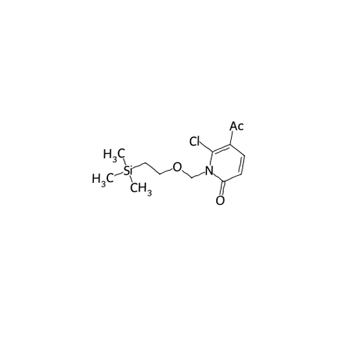 CC(=O)c1ccc(=O)n(COCC[Si](C)(C)C)c1Cl